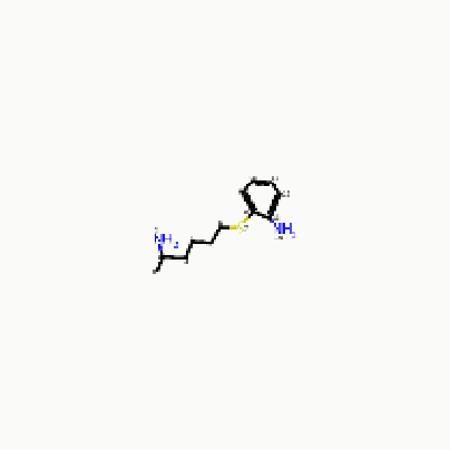 CC(N)CCCCSc1ccccc1N